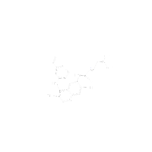 C=Cc1cccc(Nc2c(C#N)cnc3cc(O)c(NC(=O)/C=C/CN(CCC)CCC)cc23)c1